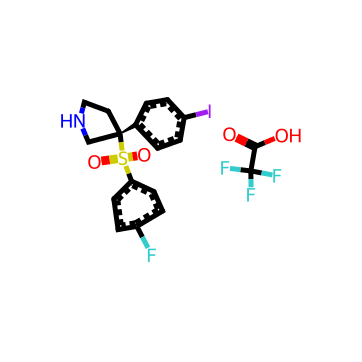 O=C(O)C(F)(F)F.O=S(=O)(c1ccc(F)cc1)[C@@]1(c2ccc(I)cc2)CCNC1